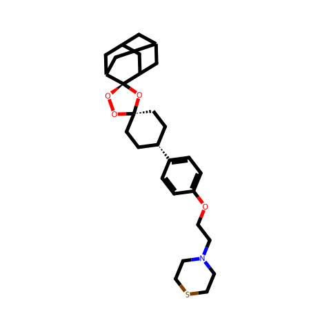 c1cc([C@H]2CC[C@]3(CC2)OO[C@]2(O3)C3CC4CC(C3)CC2C4)ccc1OCCN1CCSCC1